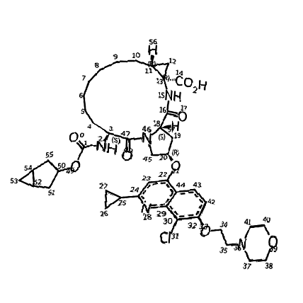 O=C(N[C@H]1CCCCCCC[C@@H]2C[C@@]2(C(=O)O)NC(=O)[C@@H]2C[C@@H](Oc3cc(C4CC4)nc4c(Cl)c(OCCN5CCOCC5)ccc34)CN2C1=O)OC1CC2CC2C1